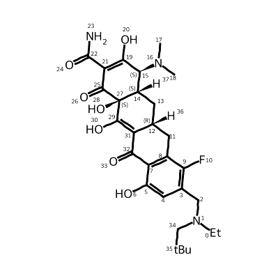 CCN(Cc1cc(O)c2c(c1F)C[C@H]1C[C@H]3[C@H](N(C)C)C(O)=C(C(N)=O)C(=O)[C@@]3(O)C(O)=C1C2=O)CC(C)(C)C